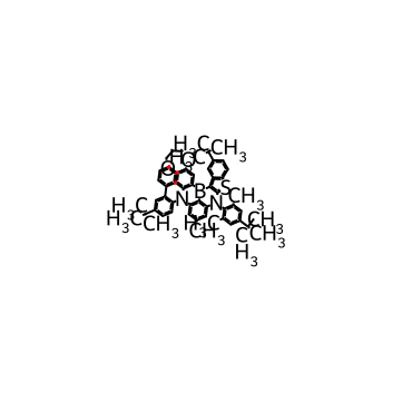 Cc1cc2c3c(c1)N(c1c(C)cc(C(C)(C)C)cc1C)c1sc4ccc(C(C)(C)C)cc4c1B3c1cc3c(cc1N2c1ccc(C(C)(C)C)cc1-c1ccccc1)OCCCO3